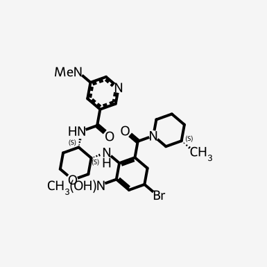 CNc1cncc(C(=O)N[C@H]2CCOC[C@H]2NC2=C(C(=O)N3CCC[C@H](C)C3)CC(Br)C=C2N(C)O)c1